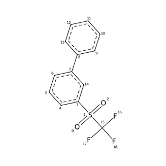 O=S(=O)(c1[c]ccc(-c2ccccc2)c1)C(F)(F)F